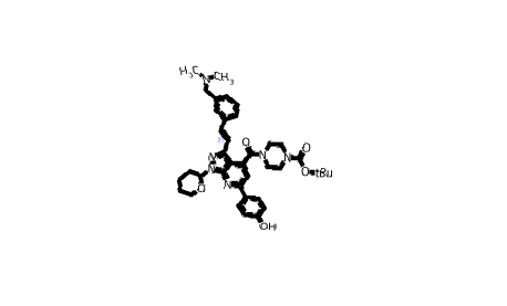 CN(C)Cc1cccc(/C=C/c2nn(C3CCCCO3)c3nc(-c4ccc(O)cc4)cc(C(=O)N4CCN(C(=O)OC(C)(C)C)CC4)c23)c1